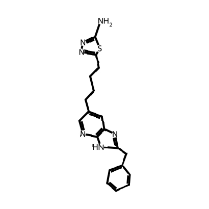 Nc1nnc(CCCCc2cnc3[nH]c(Cc4ccccc4)nc3c2)s1